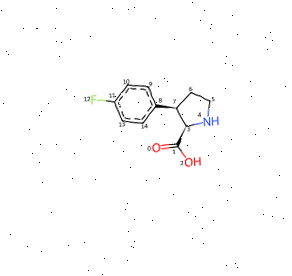 O=C(O)[C@@H]1NCC[C@@H]1c1ccc(F)cc1